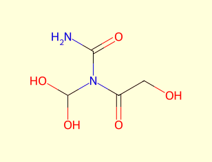 NC(=O)N(C(=O)CO)C(O)O